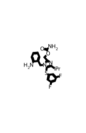 CC(C)c1nc(COC(N)=O)n(Cc2ccccc2N)c1Sc1cc(F)cc(F)c1